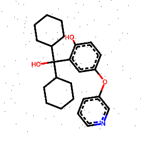 Oc1ccc(Oc2cccnc2)cc1C(O)(C1CCCCC1)C1CCCCC1